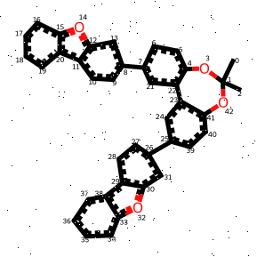 CC1(C)Oc2ccc(-c3ccc4c(c3)oc3ccccc34)cc2-c2cc(-c3ccc4c(c3)oc3ccccc34)ccc2O1